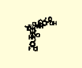 Cc1cc2nc(C(=O)NCc3ccc(F)c(Cl)c3)cc(C(=O)N[C@H]3CCc4c3ccc(C(=O)O)c4C)n2n1